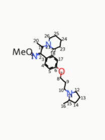 CON=C(c1ccc(OCCCN2CCCC2C)cc1)C(C)N1CCCCC1